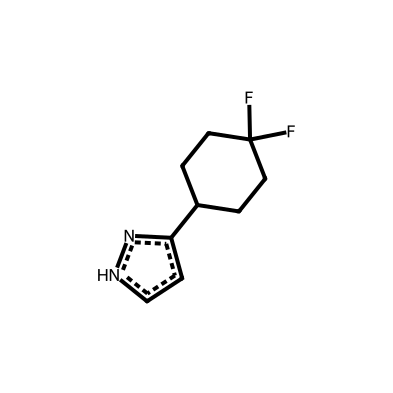 FC1(F)CCC(c2cc[nH]n2)CC1